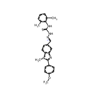 Cc1cccc(C)c1NC(=S)N/N=C/c1ccc2c(c1)nc(-c1ccc(OC(F)(F)F)cc1)n2C